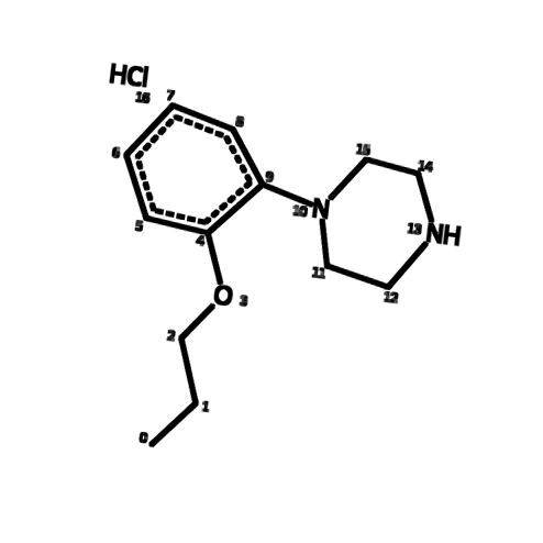 CCCOc1ccccc1N1CCNCC1.Cl